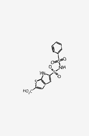 O=C(O)c1cc2cc(S(=O)(=O)NS(=O)(=O)c3ccccc3)[nH]c2s1